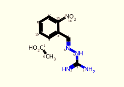 CC(=O)O.N=C(N)N/N=C/c1ccccc1[N+](=O)[O-]